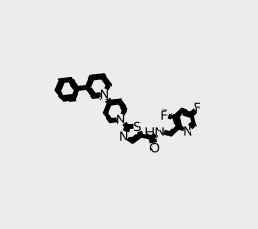 O=C(NCc1ncc(F)cc1F)c1cnc(N2CCC(N3CCCC(c4ccccc4)C3)CC2)s1